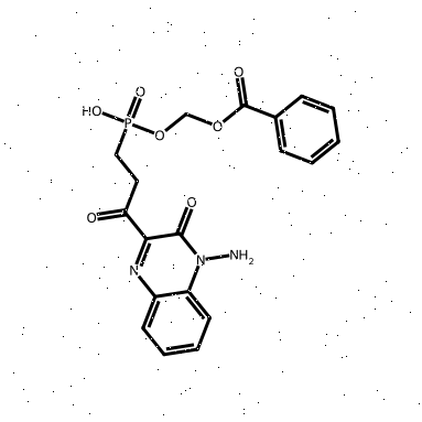 Nn1c(=O)c(C(=O)CCP(=O)(O)OCOC(=O)c2ccccc2)nc2ccccc21